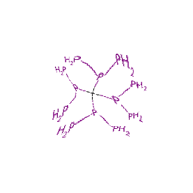 PP(P)C(P(P)P)(P(P)P)P(P)P